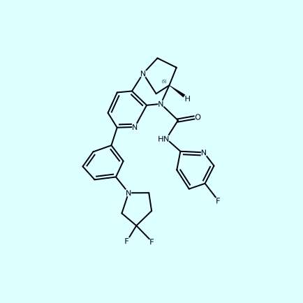 O=C(Nc1ccc(F)cn1)N1c2nc(-c3cccc(N4CCC(F)(F)C4)c3)ccc2N2CC[C@H]1C2